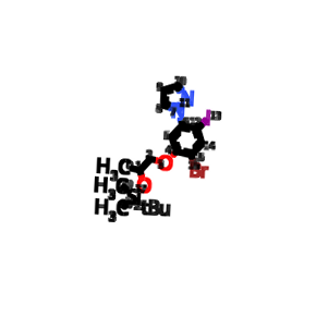 CC(COc1cc(-n2cccn2)c(I)cc1Br)O[Si](C)(C)C(C)(C)C